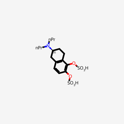 CCCN(CCC)[C@H]1CCc2c(ccc(OS(=O)(=O)O)c2OS(=O)(=O)O)C1